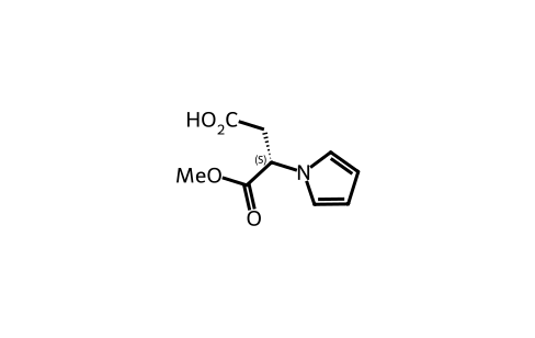 COC(=O)[C@H](CC(=O)O)n1cccc1